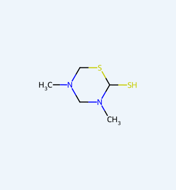 CN1CSC(S)N(C)C1